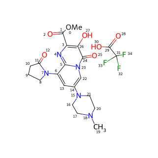 COC(=O)c1nc2c(N3CCCC3=O)cc(N3CCN(C)CC3)cn2c(=O)c1O.O=C(O)C(F)(F)F